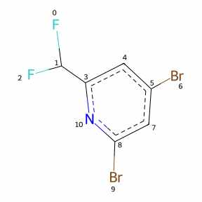 FC(F)c1cc(Br)cc(Br)n1